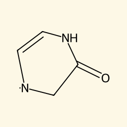 O=C1C[N]C=CN1